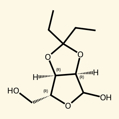 CCC1(CC)O[C@@H]2[C@@H](CO)OC(O)[C@@H]2O1